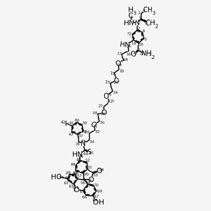 C=C(CC)N(NC)c1ccc(C(N)=O)c(NCCCOCCOCCOCCOCCOCCCN(Cc2cccc(I)c2)C(=S)Nc2ccc3c(c2)C(=O)OC32c3ccc(O)cc3Oc3cc(O)ccc32)c1